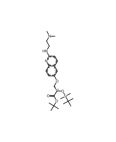 CN(C)CCNc1ccc2cc(OC[C@@H](O[Si](C)(C)C(C)(C)C)C(=O)OC(C)(C)C)ccc2n1